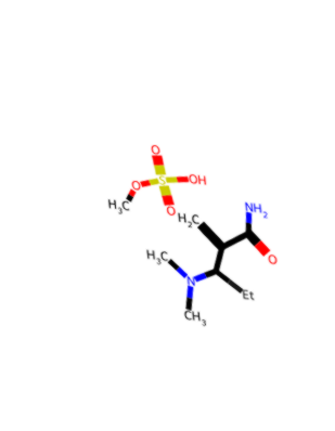 C=C(C(N)=O)C(CC)N(C)C.COS(=O)(=O)O